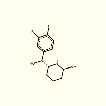 CCC[C@H]1CCC[C@H](C(O)c2ccc(F)c(F)c2)N1